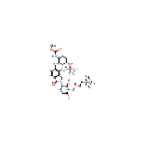 CC(C)(C)OC(=O)N[C@H]1CC[C@@H](O[Si](C)(C)C(C)(C)C)C[C@@H]1Cc1ccc2c(c1)CN(C1CCC(=O)N(COCC[Si](C)(C)C)C1=O)C2=O